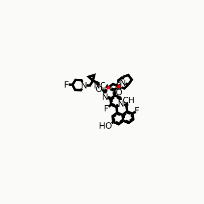 C#Cc1c(F)ccc2cc(O)cc(-c3ncc4c(N5CC6CCC(C5)N6C(=O)CCC#N)nc(OCC5(CN6CCC(F)CC6)CC5)nc4c3F)c12